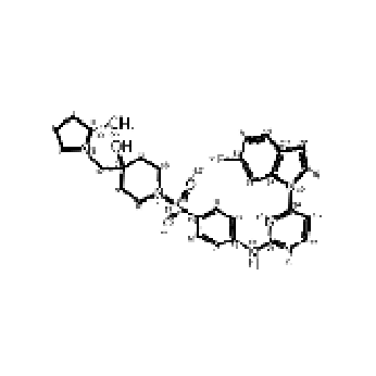 C[C@H]1CCCN1CC1(O)CCN(S(=O)(=O)c2ccc(Nc3nccc(-n4ccc5ccc(F)cc54)n3)cc2)CC1